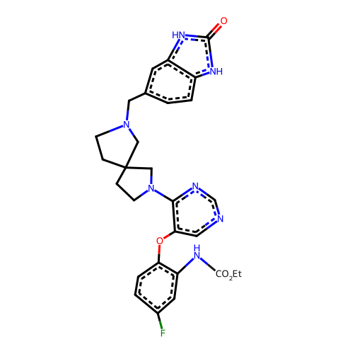 CCOC(=O)Nc1cc(F)ccc1Oc1cncnc1N1CCC2(CCN(Cc3ccc4[nH]c(=O)[nH]c4c3)C2)C1